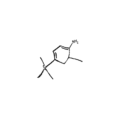 CC1CC([Si](C)(C)C)=CC=C1N